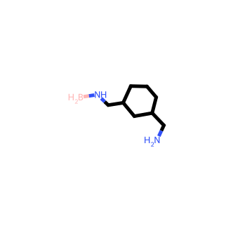 BNCC1CCCC(CN)C1